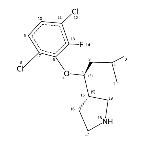 CC(C)C[C@H](Oc1c(Cl)ccc(Cl)c1F)[C@H]1CCNC1